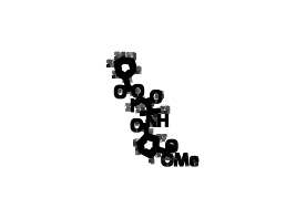 COC(=O)c1cccc(C(=O)NC(C)(C)C(=O)C(I)OC(=O)c2ccccc2)c1